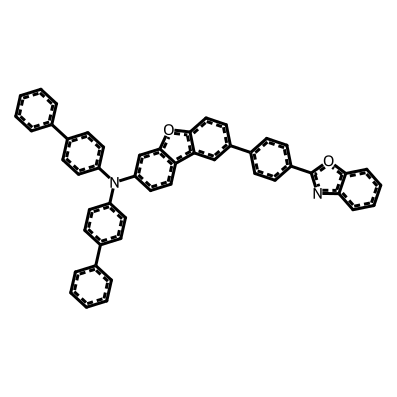 c1ccc(-c2ccc(N(c3ccc(-c4ccccc4)cc3)c3ccc4c(c3)oc3ccc(-c5ccc(-c6nc7ccccc7o6)cc5)cc34)cc2)cc1